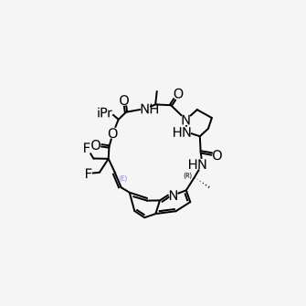 CC1NC(=O)C(C(C)C)OC(=O)C(CF)(CF)/C=C/c2ccc3ccc(nc3c2)[C@@H](C)NC(=O)C2CCCN(N2)C1=O